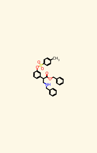 Cc1ccc(S(=O)(=O)Oc2cccc(C(CNCc3ccccc3)C(=O)OCc3ccccc3)c2)cc1